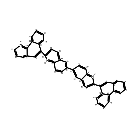 c1ccc2c(c1)cc(-c1ccc3cc(-c4ccc5nc(-c6cc7cccnc7c7ccccc67)ccc5c4)ccc3n1)c1ccccc12